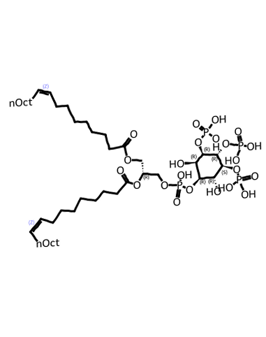 CCCCCCCC/C=C\CCCCCCCC(=O)OC[C@H](COP(=O)(O)O[C@H]1[C@@H](O)[C@@H](OP(=O)(O)O)[C@H](OP(=O)(O)O)[C@@H](OP(=O)(O)O)[C@@H]1O)OC(=O)CCCCCCC/C=C\CCCCCCCC